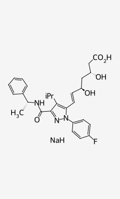 CC(C)c1c(C(=O)N[C@H](C)c2ccccc2)nn(-c2ccc(F)cc2)c1C=C[C@H](O)C[C@@H](O)CC(=O)O.[NaH]